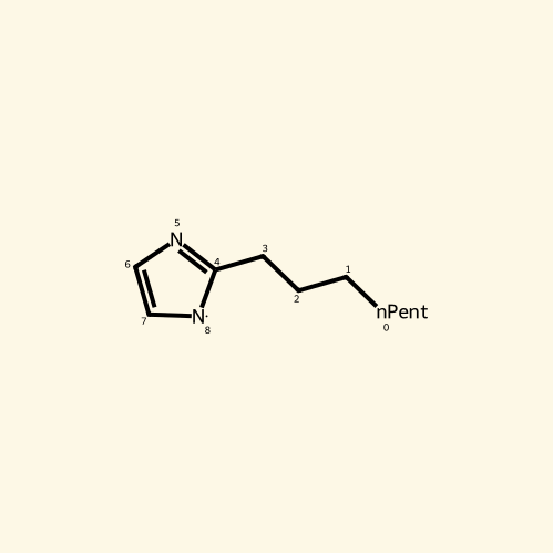 CCCCCCCCC1=NC=C[N]1